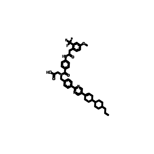 CCCC1CCC(C2CC=C(c3cnc(-c4ccc(CN(CC(=O)O)C(=O)c5ccc(NC(=O)Cc6ccc(OC)cc6C(F)(F)F)cc5)cc4)nc3)CC2)CC1